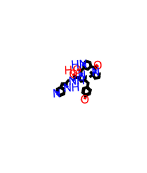 COc1ccc(CC2CC(C(=O)NCc3cc4cnccc4[nH]3)N(C(O)C3CC(C(=O)N4CCCC4(C)C)CCN3)C2)cc1